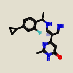 Cc1nc(/C(C=N)=C/NC(C)c2ccc(C3CC3)cc2F)cc(=O)[nH]1